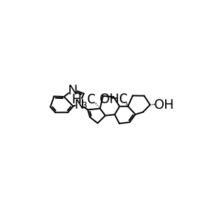 C[C@]12CCC3C(CC=C4C[C@@H](O)CC[C@@]43C=O)C1CC=C2n1cnc2ccccc21